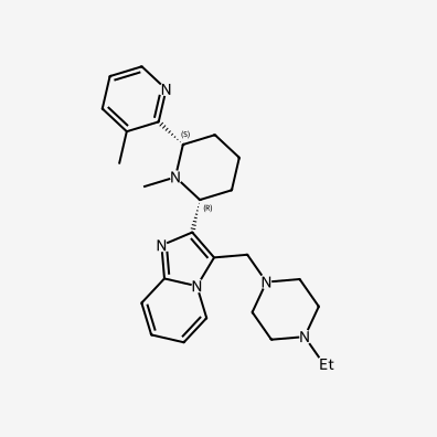 CCN1CCN(Cc2c([C@H]3CCC[C@@H](c4ncccc4C)N3C)nc3ccccn23)CC1